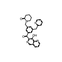 O=C(c1cc(Cc2ccccn2)cc(CN2CCCCC2=O)c1)c1ncc2cccnc2c1O